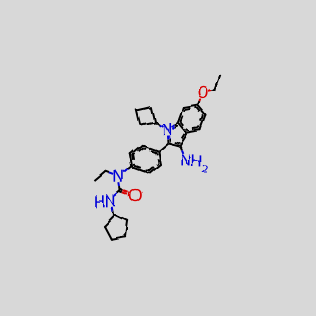 CCOc1ccc2c(N)c(-c3ccc(N(CC)C(=O)NC4CCCC4)cc3)n(C3CCC3)c2c1